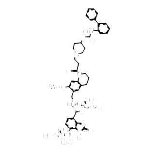 COc1cc2c(cc1CNC[C@H](O[Si](C)(C)C(C)(C)C)c1ccc(O[Si](C)(C)C(C)(C)C)c3[nH]c(=O)sc13)CCCN2C(=O)CCN1CCC(OC(=O)Nc2ccccc2-c2ccccc2)CC1